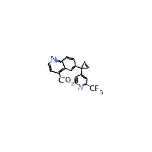 O=C(O)c1ccnc2ccc(C3(c4ccnc(C(F)(F)F)c4)CC3)cc12